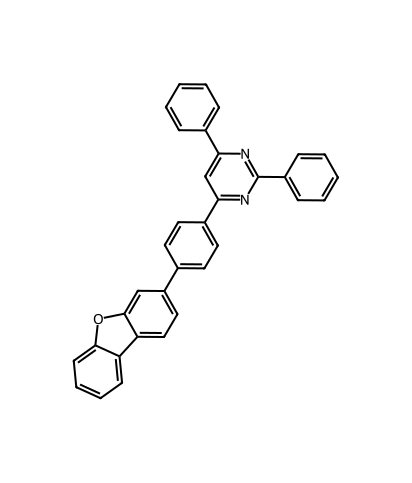 c1ccc(-c2cc(-c3ccc(-c4ccc5c(c4)oc4ccccc45)cc3)nc(-c3ccccc3)n2)cc1